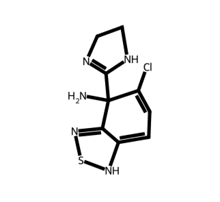 NC1(C2=NCCN2)C(Cl)=CC=C2NSN=C21